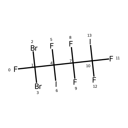 FC(Br)(Br)C(F)(I)C(F)(F)C(F)(F)I